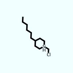 CCCCCCC1CC[SiH](CCl)CC1